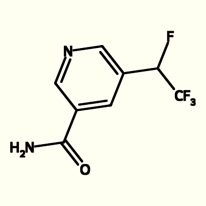 NC(=O)c1cncc(C(F)C(F)(F)F)c1